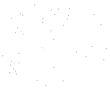 CCOCCN1CC[N+](C)=C1C(=O)[O-]